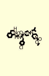 CCOC(=O)N1CCC(N(CC(C)C)N2CCN(C(=O)[C@@H](Cc3ccc(Cl)cc3)NC(=O)C[C@H]3NCCc4ccccc43)CC2)CC1